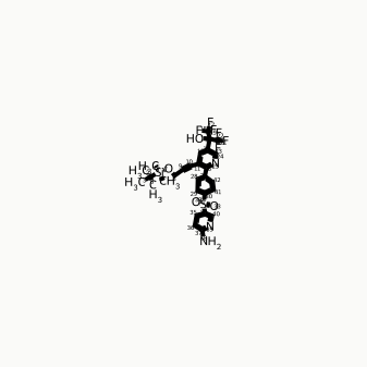 CC(C)(C)[Si](C)(C)OCC#Cc1cc(C(O)(C(F)(F)F)C(F)(F)F)cnc1-c1ccc(S(=O)(=O)c2ccc(N)nc2)cc1